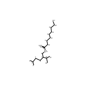 CC(C)CCC(COC(=O)CCCCCCCI)C(C)C